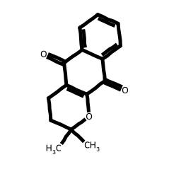 CC1(C)CCC2=C(O1)C(=O)c1ccccc1C2=O